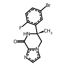 C[C@@]1(c2cc(Br)ccc2F)Cn2ccnc2C(=O)N1